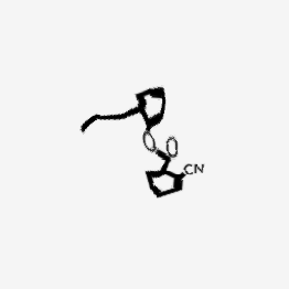 C=CCc1ccccc1OC(=O)c1ccccc1C#N